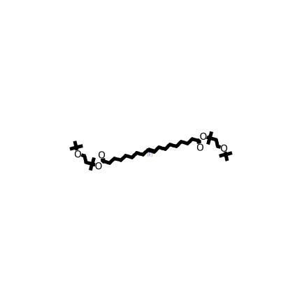 CC(C)(C)OCCC(C)(C)OC(=O)CCCCCCC/C=C/CCCCCCCC(=O)OC(C)(C)CCOC(C)(C)C